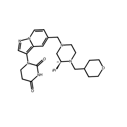 CC(C)[C@H]1CN(Cc2ccn3ncc(N4CCC(=O)NC4=O)c3c2)CCN1CC1CCOCC1